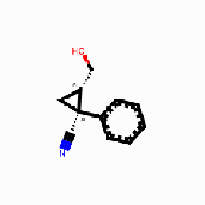 N#C[C@]1(c2ccccc2)C[C@@H]1CO